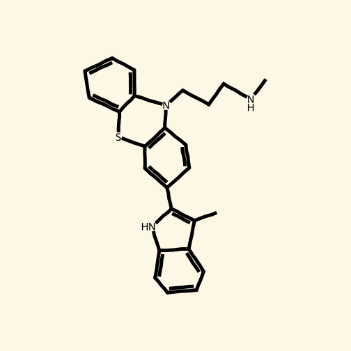 CNCCCN1c2ccccc2Sc2cc(-c3[nH]c4ccccc4c3C)ccc21